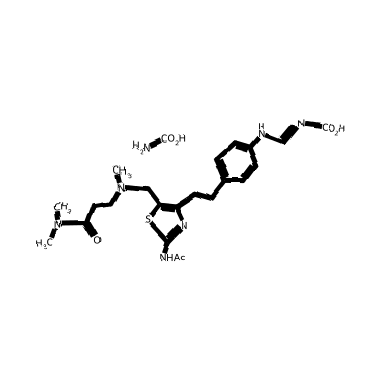 CC(=O)Nc1nc(CCc2ccc(NC=NC(=O)O)cc2)c(CN(C)CCC(=O)N(C)C)s1.NC(=O)O